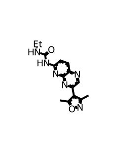 CCNC(=O)Nc1ccc2ncc(-c3c(C)noc3C)nc2n1